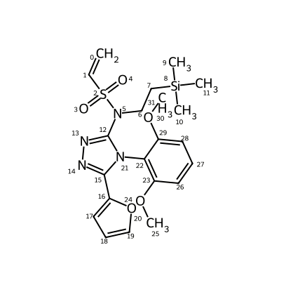 C=CS(=O)(=O)N(CC[Si](C)(C)C)c1nnc(-c2ccco2)n1-c1c(OC)cccc1OC